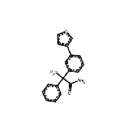 NC(=O)C(N)(c1ccccc1)c1cccc(-c2ccsc2)c1